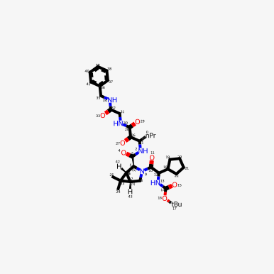 CCCC(NC(=O)[C@@H]1[C@@H]2[C@H](CN1C(=O)C(NC(=O)OC(C)(C)C)C1CCCC1)C2(C)C)C(=O)C(=O)NCC(=O)NCc1ccccc1